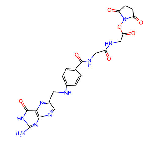 Nc1nc2ncc(CNc3ccc(C(=O)NCC(=O)NCC(=O)ON4C(=O)CCC4=O)cc3)nc2c(=O)[nH]1